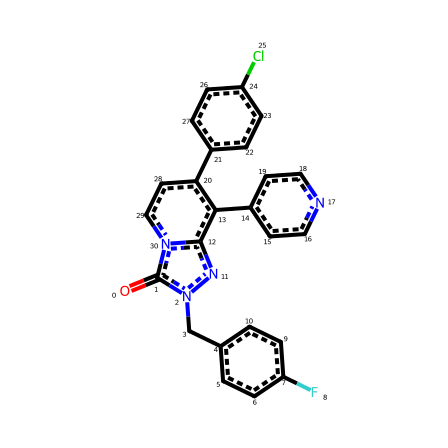 O=c1n(Cc2ccc(F)cc2)nc2c(-c3ccncc3)c(-c3ccc(Cl)cc3)ccn12